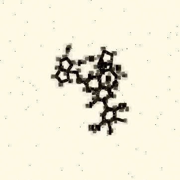 Cc1c(F)c(N)cc(-c2nc3c4c(nc(OC[C@@]56CCCN5C[C@H](F)[C@@H]6F)nc4c2F)N2C[C@H]4CC[C@H](N4)[C@H]2[C@H](C)O3)c1C(F)(F)F